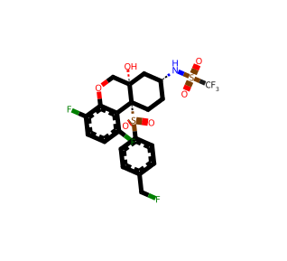 O=S(=O)(N[C@@H]1CC[C@@]2(S(=O)(=O)c3ccc(CF)cc3)c3c(F)ccc(F)c3OC[C@@]2(O)C1)C(F)(F)F